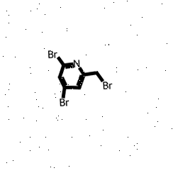 BrCc1cc(Br)cc(Br)n1